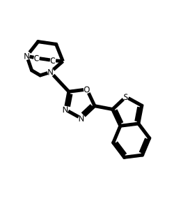 c1ccc2c(-c3nnc(N4CCN5CCC4CC5)o3)scc2c1